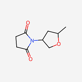 CC1CC(N2C(=O)CCC2=O)CO1